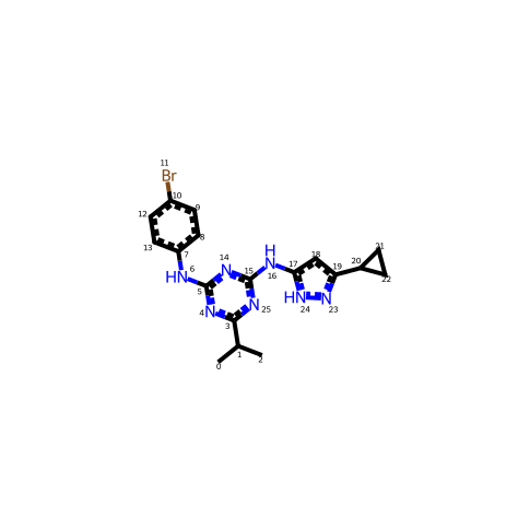 CC(C)c1nc(Nc2ccc(Br)cc2)nc(Nc2cc(C3CC3)n[nH]2)n1